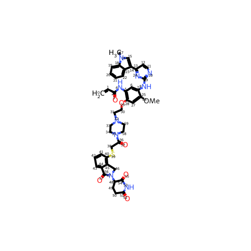 C=CC(=O)Nc1cc(Nc2nccc(-c3cn(C)c4ccccc34)n2)c(OC)cc1OCCN1CCN(C(=O)CSc2cccc3c2CN(C2CCC(=O)NC2=O)C3=O)CC1